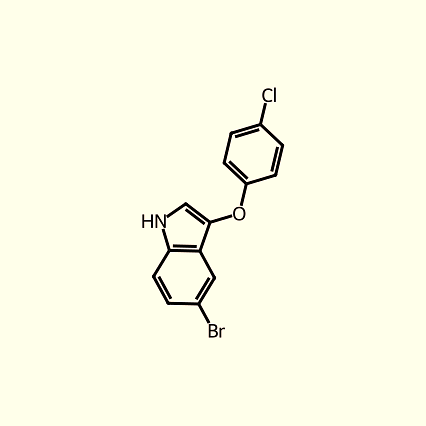 Clc1ccc(Oc2c[nH]c3ccc(Br)cc23)cc1